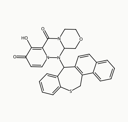 O=C1c2c(O)c(=O)ccn2N(C2c3ccccc3SCc3c2ccc2ccccc32)C2COCCN12